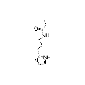 CCC(=O)N[CH]CCc1ncc[nH]1